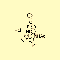 CC(=O)N[C@@H](Cc1ccc(OCc2ccccc2)c(F)c1)[C@H](O)CNC1(c2cccc(C(C)C)c2)CCCCC1.Cl